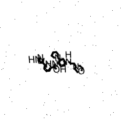 OC(Nc1ccc(NCCN2CCOCC2)cc1N1CCCCC1)c1cccc(-c2cn[nH]c2)n1